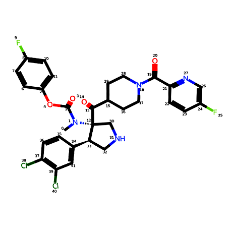 CN(C(=O)Oc1ccc(F)cc1)[C@]1(C(=O)C2CCN(C(=O)c3ccc(F)cn3)CC2)CNC[C@H]1c1ccc(Cl)c(Cl)c1